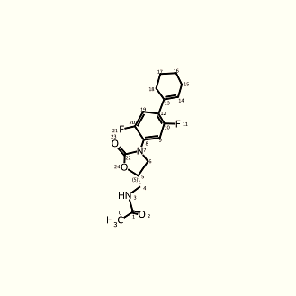 CC(=O)NC[C@H]1CN(c2cc(F)c(C3=CCCCC3)cc2F)C(=O)O1